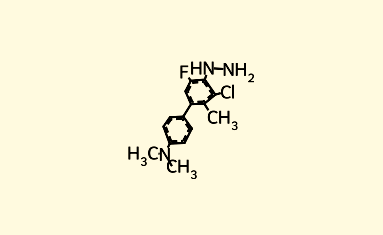 Cc1c(-c2ccc(N(C)C)cc2)cc(F)c(NN)c1Cl